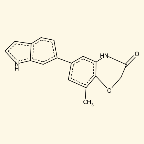 Cc1cc(-c2ccc3cc[nH]c3c2)cc2c1OCC(=O)N2